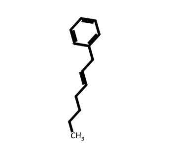 CCCCC=CCc1[c]cccc1